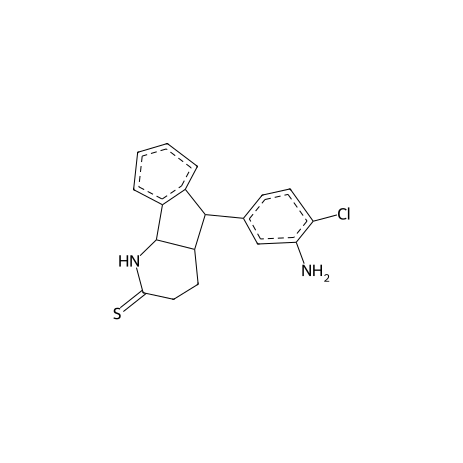 Nc1cc(C2c3ccccc3C3NC(=S)CCC32)ccc1Cl